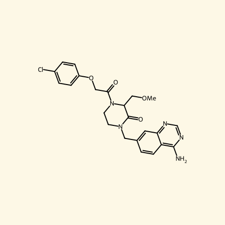 COCC1C(=O)N(Cc2ccc3c(N)ncnc3c2)CCN1C(=O)COc1ccc(Cl)cc1